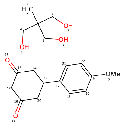 CC(CO)(CO)CO.COc1ccc(C2CC(=O)CC(=O)C2)cc1